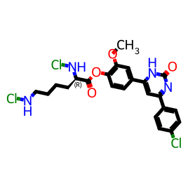 COc1cc(-c2cc(-c3ccc(Cl)cc3)nc(=O)[nH]2)ccc1OC(=O)[C@@H](CCCCNCl)NCl